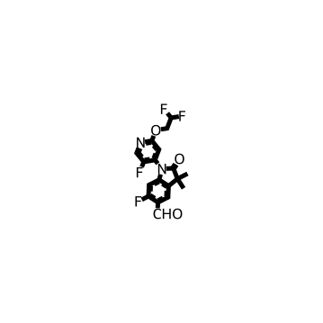 CC1(C)C(=O)N(c2cc(OCC(F)F)ncc2F)c2cc(F)c(C=O)cc21